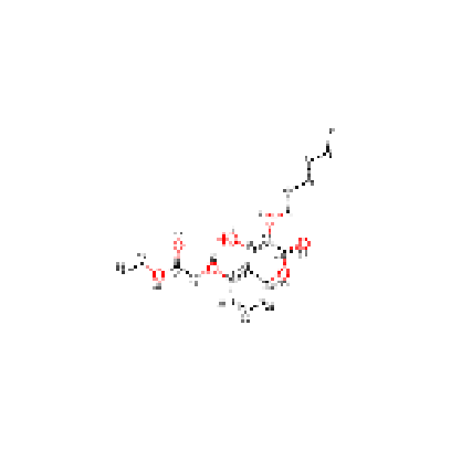 CCCCCCOc1c(O)c2c(OCC(=O)OCC)cccc2oc1=O